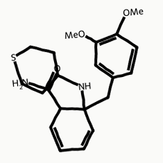 COc1ccc(CC2(NC3CCSCC3)C=CC=CC2C(N)=O)cc1OC